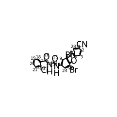 N#Cc1ccc(Oc2c(Br)cc(NC(=O)NC(=O)c3ccccc3Cl)cc2Br)nc1